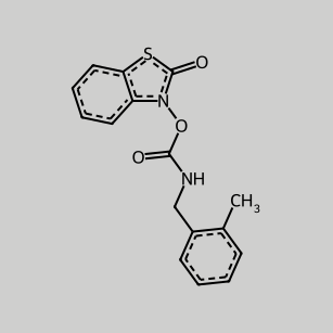 Cc1ccccc1CNC(=O)On1c(=O)sc2ccccc21